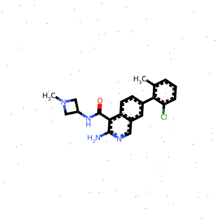 Cc1cccc(Cl)c1-c1ccc2c(C(=O)NC3CN(C)C3)c(N)ncc2c1